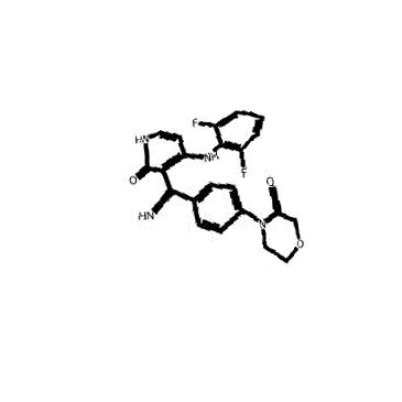 N=C(c1ccc(N2CCOCC2=O)cc1)c1c(Nc2c(F)cccc2F)cc[nH]c1=O